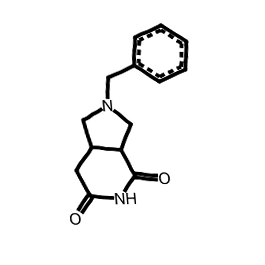 O=C1CC2CN(Cc3ccccc3)CC2C(=O)N1